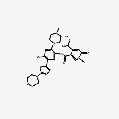 C[C@@H]1CN(c2cc(F)c(-c3cnc(N4CCOCC4)s3)cc2NC(=O)c2cn(C)c(=O)cc2C(F)F)CCN1C